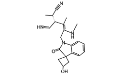 CN/C(CN1C(=O)C2(CC(O)C2)c2ccccc21)=C(\C)[C@H](C=N)C(C)C#N